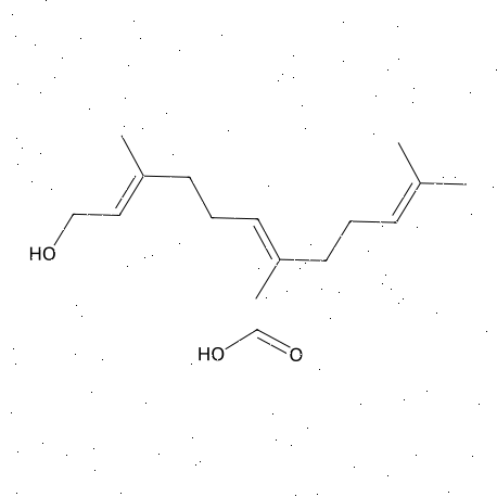 CC(C)=CCCC(C)=CCCC(C)=CCO.O=CO